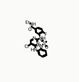 CCNC(=O)c1ccc(F)c(Nc2ncc(Cl)c(Nc3ccccc3NS(C)(=O)=O)n2)c1